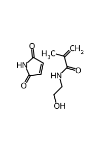 C=C(C)C(=O)NCCO.O=C1C=CC(=O)N1